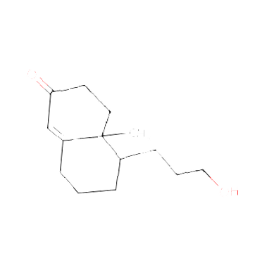 CC12CCC(=O)C=C1CCCC2CCCO